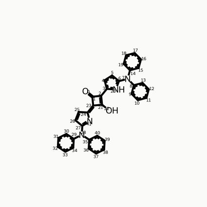 O=C1C(c2ccc(N(c3ccccc3)c3ccccc3)[nH]2)=C(O)/C1=C1/C=CC(N(c2ccccc2)c2ccccc2)=N1